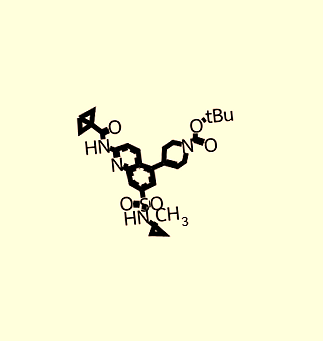 CC1(NS(=O)(=O)c2cc(C3=CCN(C(=O)OC(C)(C)C)CC3)c3ccc(NC(=O)C45CC4C5)nc3c2)CC1